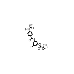 CC(C)C(=O)Nc1ccc(C(=O)Oc2cc(Cl)cc(OC(=O)C3(C)CC3)c2)cc1